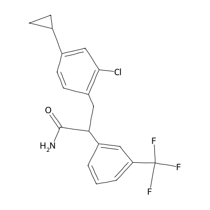 NC(=O)C(Cc1ccc(C2CC2)cc1Cl)c1cccc(C(F)(F)F)c1